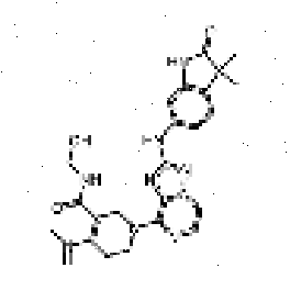 CNC1=C(C(=O)NCO)CN(c2nccn3nc(Nc4ccc5c(c4)NC(=O)C5(C)C)nc23)CC1